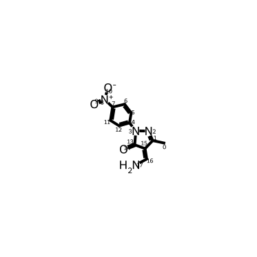 CC1=NN(c2ccc([N+](=O)[O-])cc2)C(=O)C1=CN